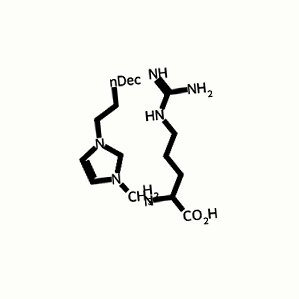 CCCCCCCCCCCCN1C=CN(C)C1.N=C(N)NCCCC(N)C(=O)O